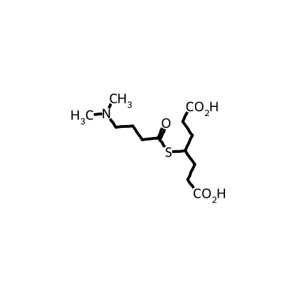 CN(C)CCCC(=O)SC(CCC(=O)O)CCC(=O)O